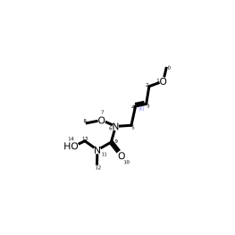 COC/C=C/CN(OC)C(=O)N(C)CO